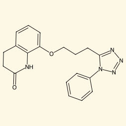 O=C1CCc2cccc(OCCCc3nnnn3-c3ccccc3)c2N1